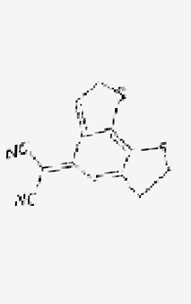 N#CC(C#N)=c1cc2c(c3c1=CCS3)SCC2